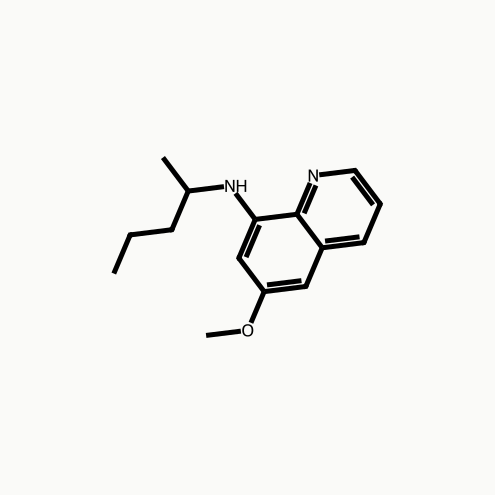 CCCC(C)Nc1cc(OC)cc2cccnc12